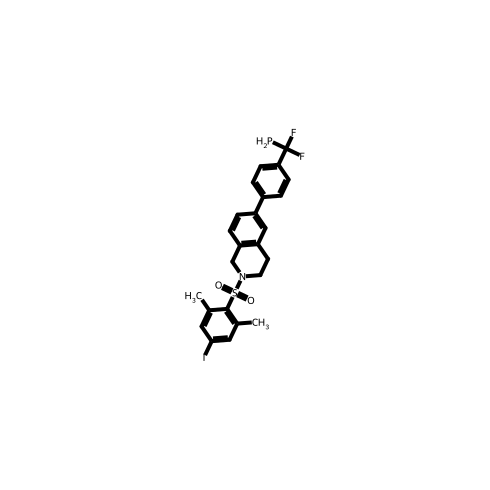 Cc1cc(I)cc(C)c1S(=O)(=O)N1CCc2cc(-c3ccc(C(F)(F)P)cc3)ccc2C1